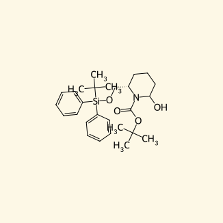 CC(C)(C)OC(=O)N1C(O)CCC[C@H]1CO[Si](c1ccccc1)(c1ccccc1)C(C)(C)C